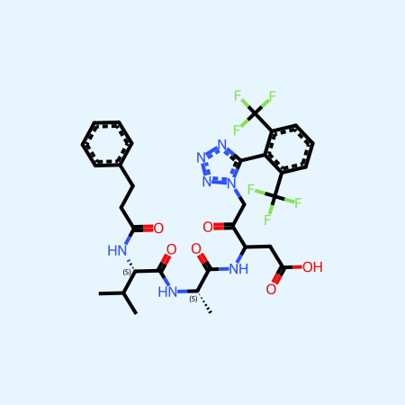 CC(C)[C@H](NC(=O)CCc1ccccc1)C(=O)N[C@@H](C)C(=O)NC(CC(=O)O)C(=O)Cn1nnnc1-c1c(C(F)(F)F)cccc1C(F)(F)F